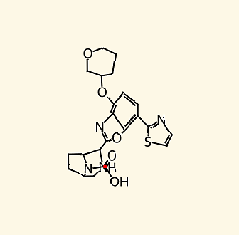 O=C(O)N1C2CCC1C(c1nc3c(OC4CCCOC4)ccc(-c4nccs4)c3o1)NC2